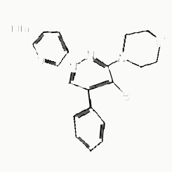 Br.Brc1c(-c2ccccc2)cnnc1N1CCOCC1.c1ccncc1